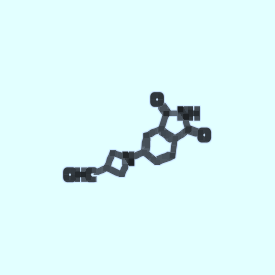 O=CC1CN(c2ccc3c(c2)C(=O)NC3=O)C1